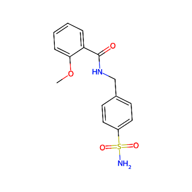 COc1ccccc1C(=O)NCc1ccc(S(N)(=O)=O)cc1